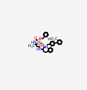 CC(C)(CC(=O)NC1CCc2ccccc2N(Cc2ccc(-c3ccccc3C(=O)O)cc2)C1=O)NC(=O)OOCc1ccccc1